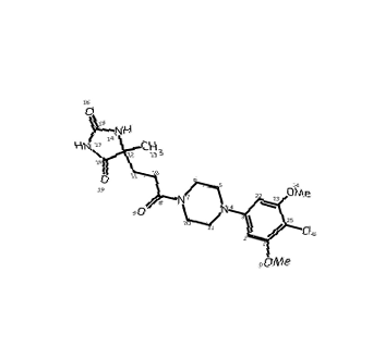 COc1cc(N2CCN(C(=O)CCC3(C)NC(=O)NC3=O)CC2)cc(OC)c1Cl